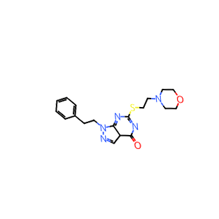 O=C1N=C(SCCN2CCOCC2)N=C2C1C=NN2CCc1ccccc1